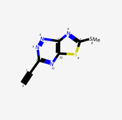 C#Cc1nnc2nc(SC)sc2n1